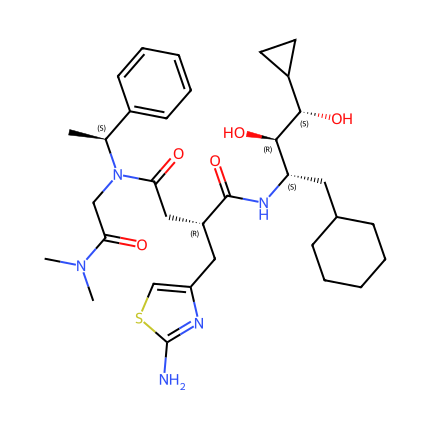 C[C@@H](c1ccccc1)N(CC(=O)N(C)C)C(=O)C[C@@H](Cc1csc(N)n1)C(=O)N[C@@H](CC1CCCCC1)[C@@H](O)[C@@H](O)C1CC1